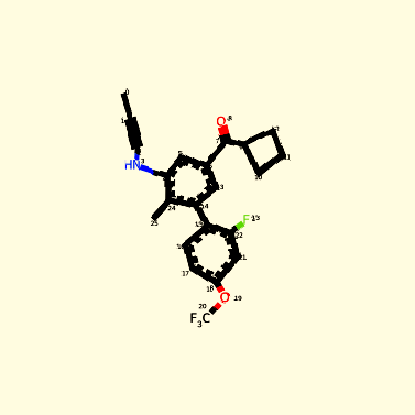 CC#CNc1cc(C(=O)C2CCC2)cc(-c2ccc(OC(F)(F)F)cc2F)c1C